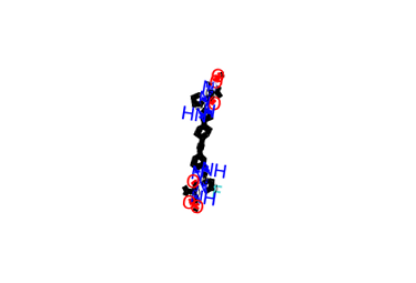 COO/C=N\[C@H](C(=O)N1CCC[C@H]1c1ncc(-c2ccc(C#Cc3ccc4nc([C@@H]5C[C@H](F)CN5C(=O)[C@@H](NC(=O)OC)C(C)C)[nH]c4c3)cc2)[nH]1)C(C)C